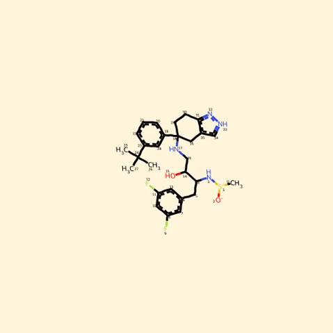 C[S+]([O-])NC(Cc1cc(F)cc(F)c1)C(O)CNC1(c2cccc(C(C)(C)C)c2)CCc2n[nH]cc2C1